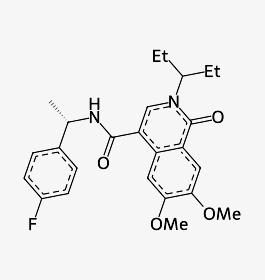 CCC(CC)n1cc(C(=O)N[C@@H](C)c2ccc(F)cc2)c2cc(OC)c(OC)cc2c1=O